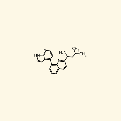 CC(C)CC(N)c1ccc2cccc(-c3ccnc4[nH]ccc34)c2n1